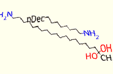 CC(O)(O)CCCCCCCCCCCCCCCCCCN.CCCCCCCCCCCCCCCCCCN